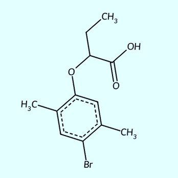 CCC(Oc1cc(C)c(Br)cc1C)C(=O)O